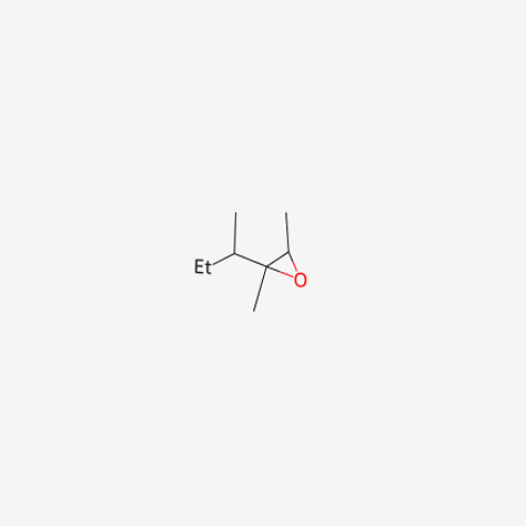 CCC(C)C1(C)OC1C